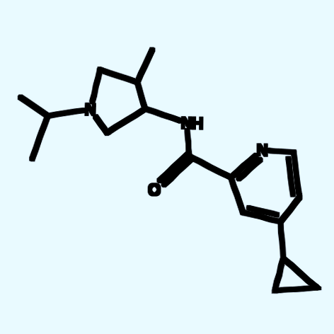 CC1CN(C(C)C)CC1NC(=O)c1cc(C2CC2)ccn1